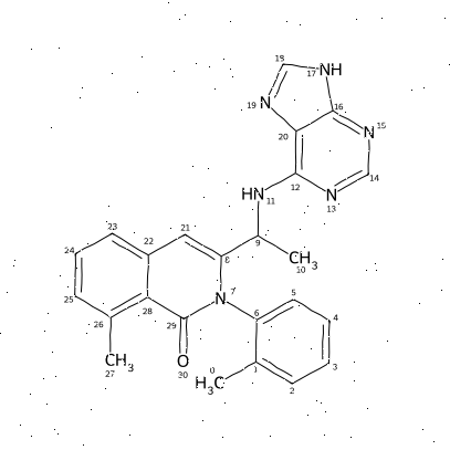 Cc1ccccc1-n1c(C(C)Nc2ncnc3[nH]cnc23)cc2cccc(C)c2c1=O